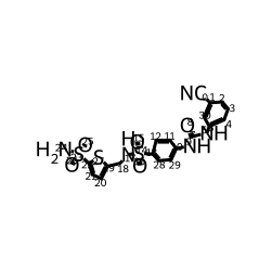 N#Cc1cccc(NC(=O)Nc2ccc(S(=O)(=O)NCc3ccc(S(N)(=O)=O)s3)cc2)c1